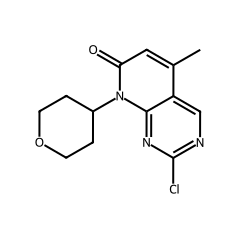 Cc1cc(=O)n(C2CCOCC2)c2nc(Cl)ncc12